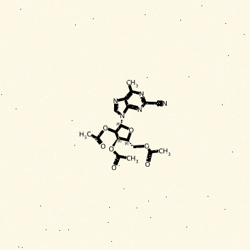 CC(=O)OC[C@H]1O[C@@H](n2cnc3c(C)nc(C#N)nc32)C(OC(C)=O)[C@@H]1OC(C)=O